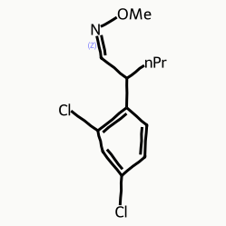 CCCC(/C=N\OC)c1ccc(Cl)cc1Cl